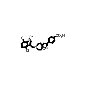 CC(C)n1cc(CN2CCC3(CC2)CC(c2ccc(C(=O)O)cc2)=NO3)c2c(Cl)ccc(Cl)c21